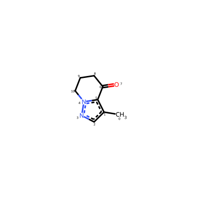 Cc1cnn2c1C(=O)CCC2